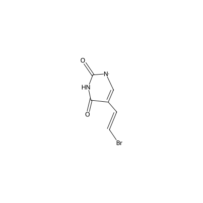 O=C1[N]C=C(/C=C/Br)C(=O)N1